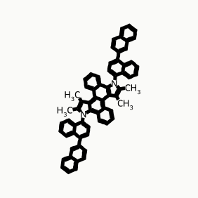 Cc1c(C)n(-c2ccc(-c3ccc4ccccc4c3)c3ccccc23)c2c3ccccc3c3c4c(C)c(C)n(-c5ccc(-c6ccc7ccccc7c6)c6ccccc56)c4c4ccccc4c3c12